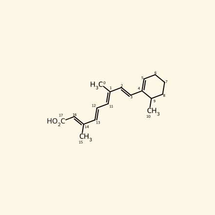 CC(C=CC1=CCCCC1C)=CC=CC(C)=CC(=O)O